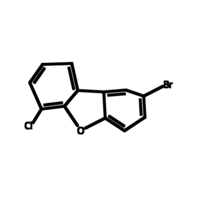 Clc1cccc2c1oc1ccc(Br)cc12